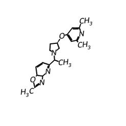 CC1=NC2N=C(C(C)N3CC[C@@H](Oc4cc(C)nc(C)c4)C3)C=CC2O1